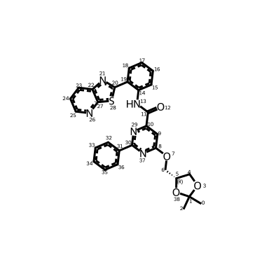 CC1(C)OC[C@@H](COc2cc(C(=O)Nc3ccccc3-c3nc4cccnc4s3)nc(-c3ccccc3)n2)O1